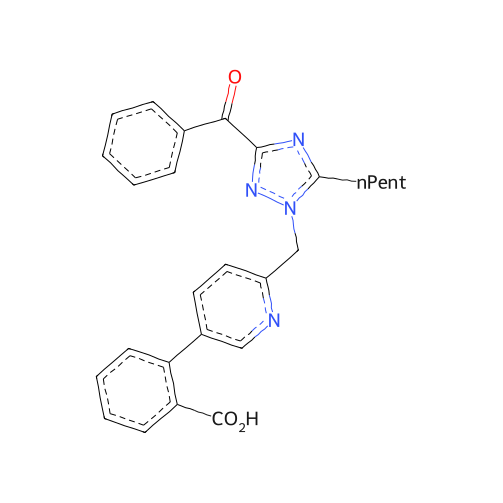 CCCCCc1nc(C(=O)c2ccccc2)nn1Cc1ccc(-c2ccccc2C(=O)O)cn1